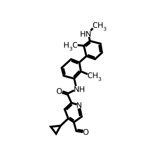 CNc1cccc(-c2cccc(NC(=O)c3cc(C4CC4)c(C=O)cn3)c2C)c1C